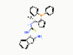 C[C@@H](NC(=S)N[C@H]1c2ccccc2C[C@@H]1N)C1=C(P(c2ccccc2)c2ccccc2)C=CC1